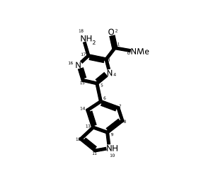 CNC(=O)c1nc(-c2ccc3[nH]ccc3c2)cnc1N